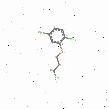 Fc1ccc(F)c(SCCCCl)c1